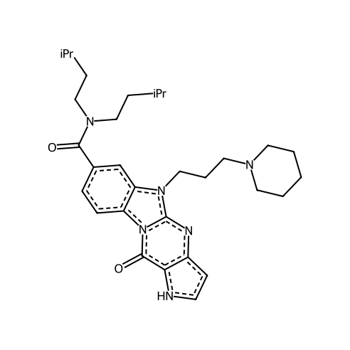 CC(C)CCN(CCC(C)C)C(=O)c1ccc2c(c1)n(CCCN1CCCCC1)c1nc3cc[nH]c3c(=O)n21